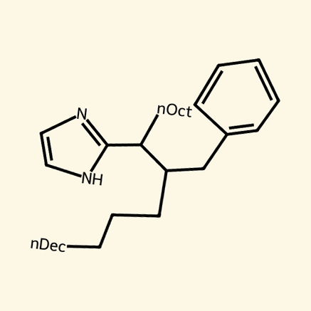 CCCCCCCCCCCCCC(Cc1ccccc1)C(CCCCCCCC)c1ncc[nH]1